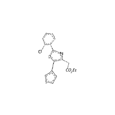 CCOC(=O)Cc1nc(-c2ccccc2Cl)oc1-c1ccsc1